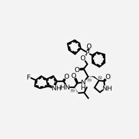 CC(C)C[C@H](NC(=O)c1cc2cc(F)ccc2[nH]1)C(=O)N[C@@H](C[C@@H]1CCNC1=O)C(=O)COP(=O)(c1ccccc1)c1ccccc1